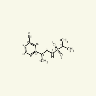 CC(CNS(=O)(=O)C(C)C)c1cccc(Br)c1